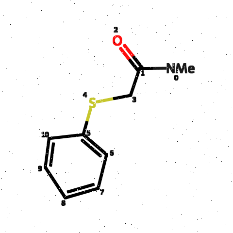 [CH2]NC(=O)CSc1ccccc1